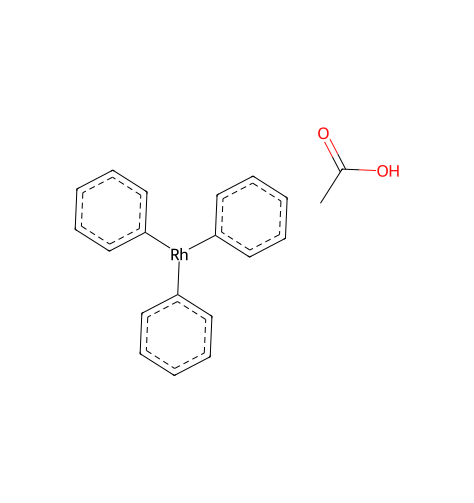 CC(=O)O.c1cc[c]([Rh]([c]2ccccc2)[c]2ccccc2)cc1